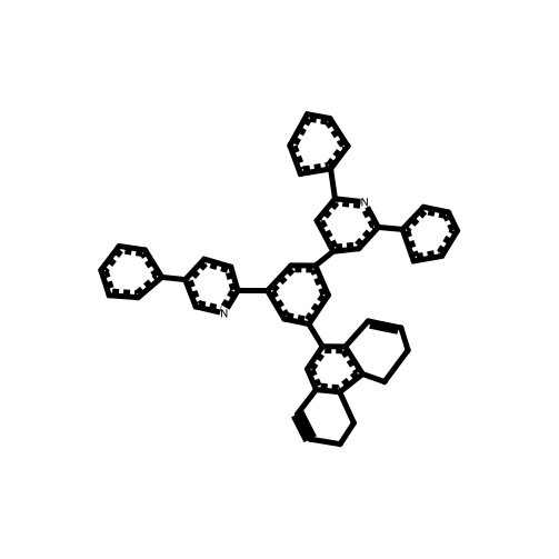 C1#Cc2cc(-c3cc(-c4cc(-c5ccccc5)nc(-c5ccccc5)c4)cc(-c4ccc(-c5ccccc5)cn4)c3)c3c(c2CC1)CCC=C3